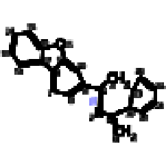 C=C(/N=C(\C)c1ccc2c(c1)oc1ccccc12)C1C=CC=CC1